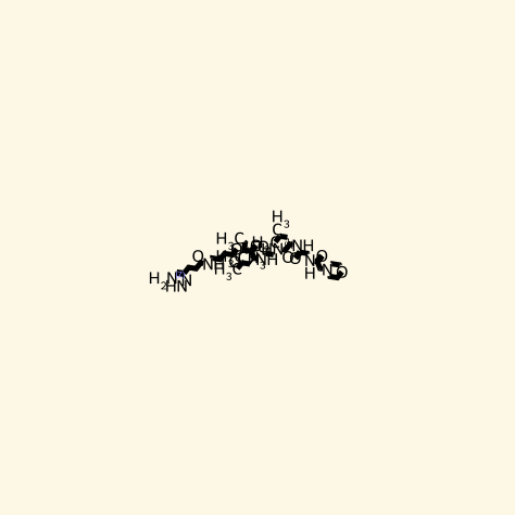 CC[C@@](C)(OC(=O)CCCNC(=O)CC/C(=C/N)N=N)C(=O)[C@H](CC(C)C)NC(=O)CNC(=O)[C@H](CC(C)C)NC(=O)CNC(=O)CN1CCOCC1